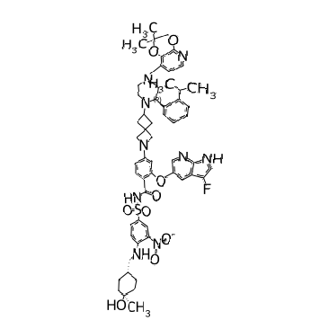 CC(C)c1ccccc1[C@@H]1CN(Cc2ccnc3c2OC(C)(C)CO3)CCN1C1CC2(C1)CN(c1ccc(C(=O)NS(=O)(=O)c3ccc(NC[C@H]4CC[C@](C)(O)CC4)c([N+](=O)[O-])c3)c(Oc3cnc4[nH]cc(F)c4c3)c1)C2